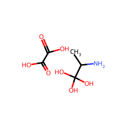 CC(N)C(O)(O)O.O=C(O)C(=O)O